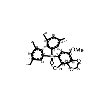 COc1cc(P(=O)(c2cc(C)cc(C)c2)c2cc(C)cc(C)c2)c(Cl)c2c1OCO2